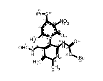 C=C1C(CNC=O)=C(n2c(C)cc(SC(C)C)c([N+](=O)[O-])c2=O)C(NC(=O)OC(C)(C)C)=NC1C